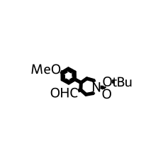 COc1ccc(C2CCN(C(=O)OC(C)(C)C)CCC2C=O)cc1